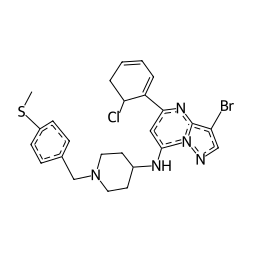 CSc1ccc(CN2CCC(Nc3cc(C4=CC=CCC4Cl)nc4c(Br)cnn34)CC2)cc1